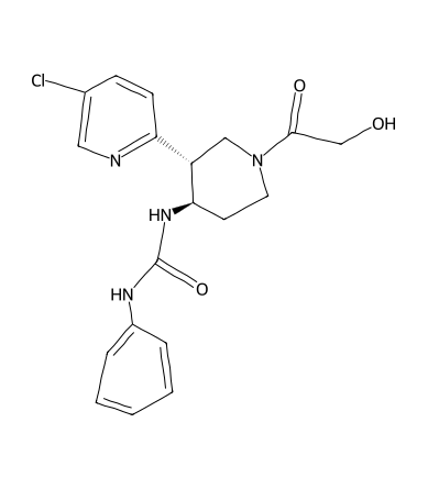 O=C(Nc1ccccc1)N[C@@H]1CCN(C(=O)CO)C[C@H]1c1ccc(Cl)cn1